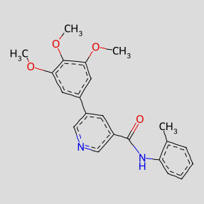 COc1cc(-c2cncc(C(=O)Nc3ccccc3C)c2)cc(OC)c1OC